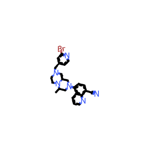 CC1CN(c2ccc(C#N)c3ncccc23)CC2CN(Cc3ccnc(Br)c3)CCN12